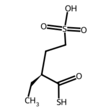 CC[C@@H](CCS(=O)(=O)O)C(=O)S